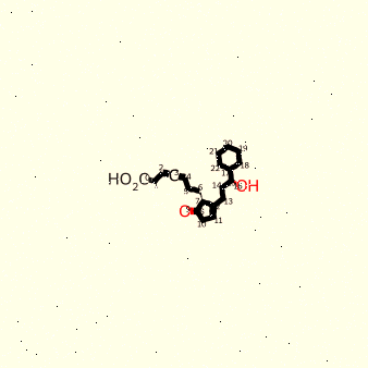 O=C(O)CC=C=CCC[C@H]1C(=O)CC=C1CC[C@H](O)C1CCCCC1